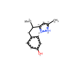 COC(Cc1ccc(O)cc1)c1cc(C)[nH]n1